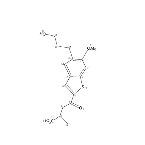 COc1cc2sc(C(=O)CC(C)C(=O)O)cc2cc1CCCO